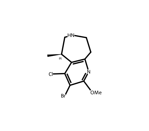 COc1nc2c(c(Cl)c1Br)[C@@H](C)CNCC2